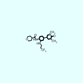 Cc1cc(-c2ccc(NC(=O)C3CCOCC3)c(NCCC(F)(F)F)c2)cn(C)c1=O